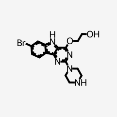 OCCOc1nc(N2CCNCC2)nc2c1[nH]c1cc(Br)ccc12